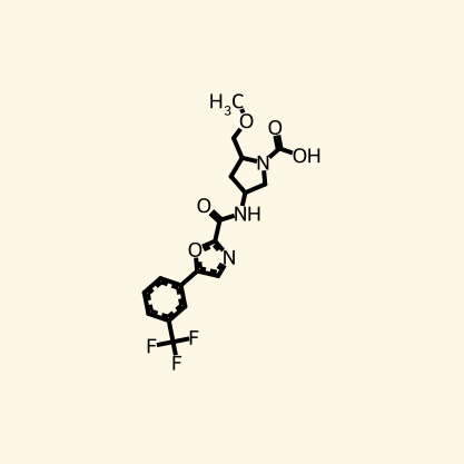 COCC1CC(NC(=O)c2ncc(-c3cccc(C(F)(F)F)c3)o2)CN1C(=O)O